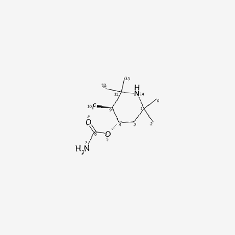 CC1(C)C[C@H](OC(N)=O)[C@@H](F)C(C)(C)N1